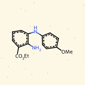 CCOC(=O)c1cccc(Nc2ccc(OC)cc2)c1N